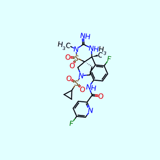 CN1C(=N)N[C@](C)(c2cc(NC(=O)c3ccc(F)cn3)ccc2F)[C@]2(CCN(S(=O)(=O)C3CC3)C2)S1(=O)=O